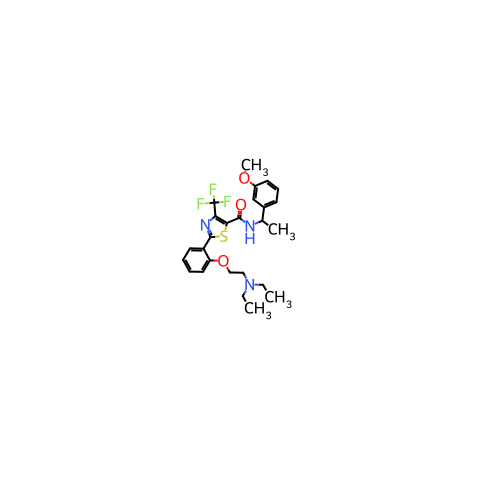 CCN(CC)CCOc1ccccc1-c1nc(C(F)(F)F)c(C(=O)NC(C)c2cccc(OC)c2)s1